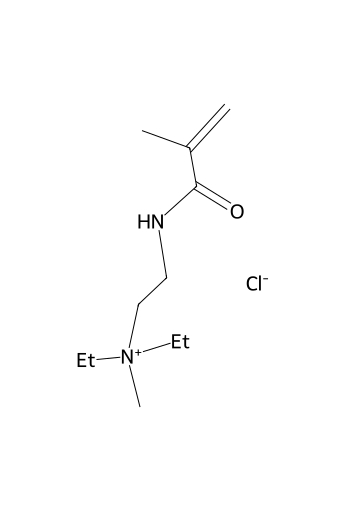 C=C(C)C(=O)NCC[N+](C)(CC)CC.[Cl-]